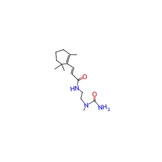 CC1=C(C=CC(=O)NCCN(C)C(N)=O)C(C)(C)CCC1